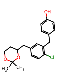 CC1(C)OCCC(Cc2ccc(Cl)c(Cc3ccc(O)cc3)c2)O1